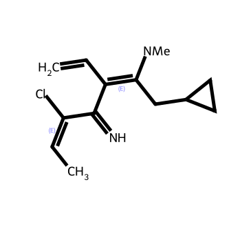 C=C/C(C(=N)/C(Cl)=C\C)=C(/CC1CC1)NC